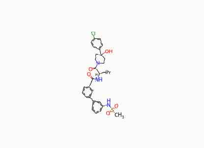 CC(C)[C@@H](NC(=O)c1cccc(-c2cccc(NS(C)(=O)=O)c2)c1)C(=O)N1CCC(O)(c2ccc(Cl)cc2)CC1